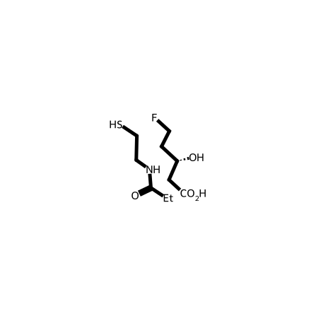 CCC(=O)NCCS.O=C(O)C[C@@H](O)CCF